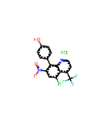 Cl.O=[N+]([O-])c1cc(Cl)c2c(C(F)(F)F)ccnc2c1-c1ccc(O)cc1